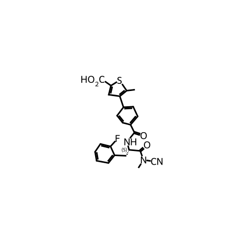 Cc1sc(C(=O)O)cc1-c1ccc(C(=O)N[C@@H](Cc2ccccc2F)C(=O)N(C)C#N)cc1